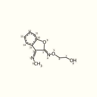 C/N=C1\C(=NOCCO)Oc2ccccc21